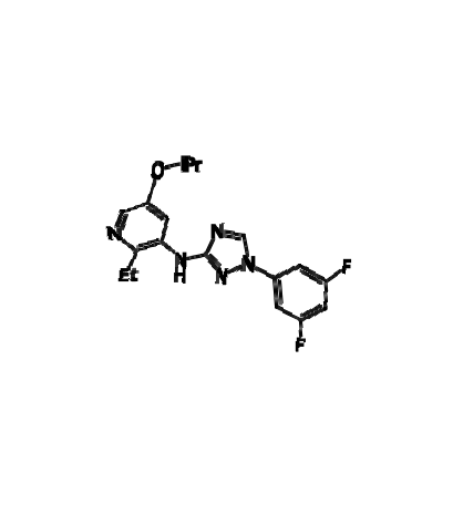 CCc1ncc(OC(C)C)cc1Nc1ncn(-c2cc(F)cc(F)c2)n1